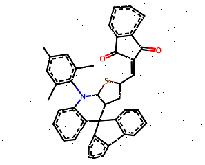 Cc1cc(C)c(N2c3ccccc3C3(c4ccccc4-c4ccccc43)C3CC(C=C4C(=O)c5ccccc5C4=O)SC32)c(C)c1